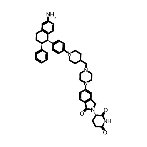 Nc1ccc2c(c1)CC[C@H](c1ccccc1)[C@@H]2c1ccc(N2CCC(CN3CCN(c4ccc5c(c4)CN([C@H]4CCC(=O)NC4=O)C5=O)CC3)CC2)cc1